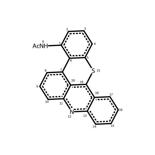 CC(=O)Nc1cccc2c1-c1cccc3nc4ccccc4c(c13)S2